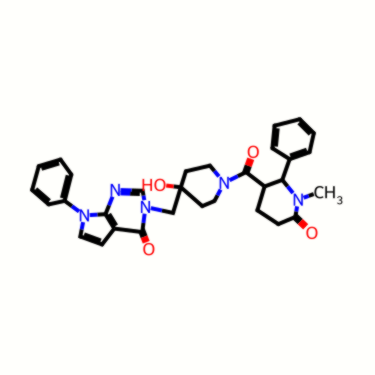 CN1C(=O)CCC(C(=O)N2CCC(O)(Cn3cnc4c(ccn4-c4ccccc4)c3=O)CC2)C1c1ccccc1